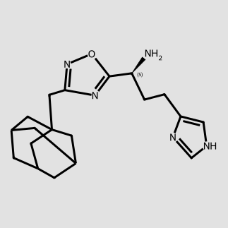 N[C@@H](CCc1c[nH]cn1)c1nc(CC23CC4CC(CC(C4)C2)C3)no1